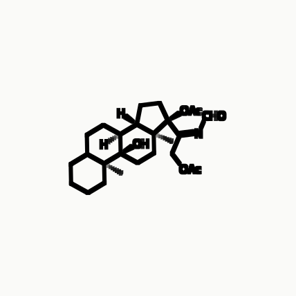 CC(=O)OC/C(=N/C=O)[C@@]1(OC(C)=O)CC[C@H]2[C@@H]3CCC4CCCC[C@]4(C)[C@@]3(O)CC[C@@]21C